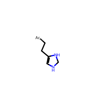 CC(=O)CCC1=CNCN1